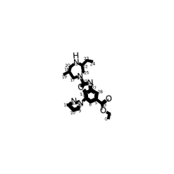 CCOC(=O)c1cc(-n2cccn2)c2oc(N3CC(C)CNC(CC)C3)nc2c1